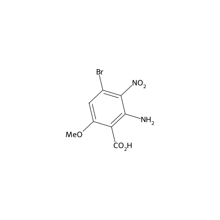 COc1cc(Br)c([N+](=O)[O-])c(N)c1C(=O)O